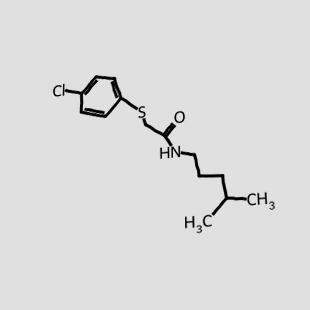 CC(C)CCCNC(=O)CSc1ccc(Cl)cc1